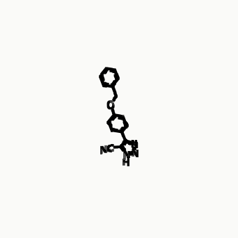 N#Cc1[nH]nnc1-c1ccc(OCc2ccccc2)cc1